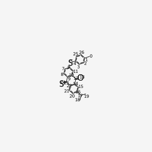 Cc1ccc(Sc2ccc3c(c2)C(=O)c2cc(C(C)C)ccc2C3=S)cc1